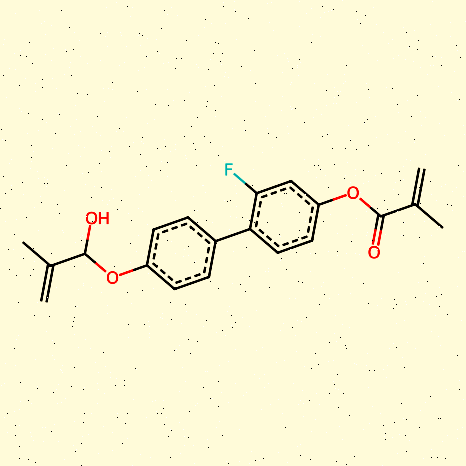 C=C(C)C(=O)Oc1ccc(-c2ccc(OC(O)C(=C)C)cc2)c(F)c1